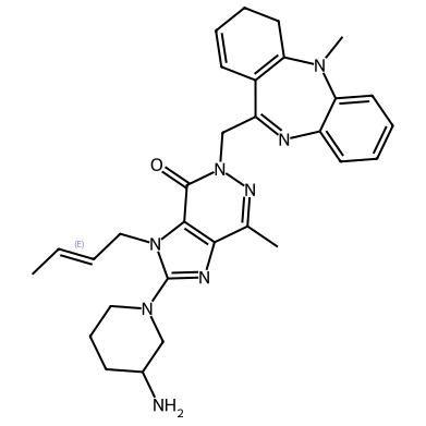 C/C=C/Cn1c(N2CCCC(N)C2)nc2c(C)nn(CC3=Nc4ccccc4N(C)C4=C3C=CCC4)c(=O)c21